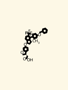 Cc1cc(OCc2ccccc2)cc(C)c1-c1c(C(F)(F)F)ccc2c1CC[C@H]2Oc1ccc2c(c1)OC[C@H]2CC(=O)O